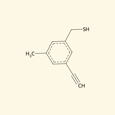 C#Cc1cc(C)cc(CS)c1